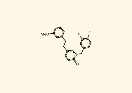 COc1cccc(CCc2ccc(=O)n(Cc3ccc(F)c(F)c3)c2)c1